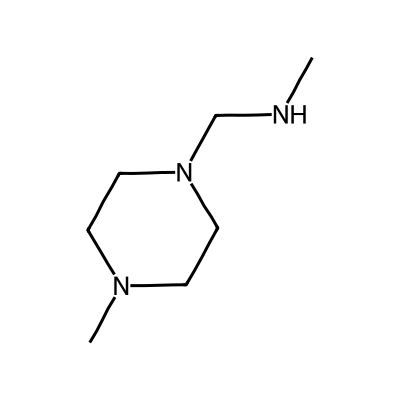 CNCN1CCN(C)CC1